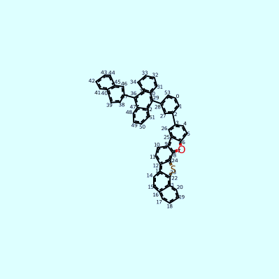 c1cc(-c2ccc3oc4c(ccc5c6ccc7ccccc7c6sc54)c3c2)cc(-c2c3ccccc3c(-c3ccc4ccccc4c3)c3ccccc23)c1